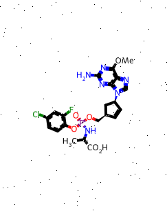 COc1nc(N)nc2c1ncn2[C@H]1C=C[C@@H](COP(=O)(NC(C)C(=O)O)Oc2ccc(Cl)cc2F)C1